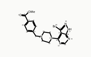 COC(=O)c1ccc(CN2CCN(c3ncnc4[nH]nc(Br)c34)CC2)cc1